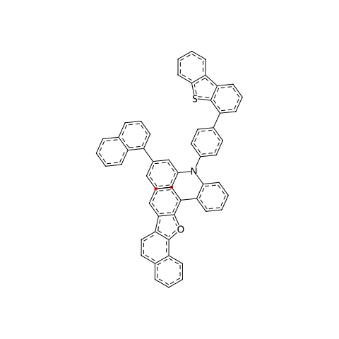 c1cc(-c2cccc3ccccc23)cc(N(c2ccc(-c3cccc4c3sc3ccccc34)cc2)c2ccccc2-c2cccc3c2oc2c4ccccc4ccc32)c1